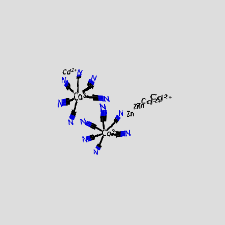 N#[C][Co-3]([C]#N)([C]#N)([C]#N)([C]#N)[C]#N.N#[C][Co-3]([C]#N)([C]#N)([C]#N)([C]#N)[C]#N.[Cd+2].[Cd+2].[Cd+2].[Zn].[Zn].[Zn]